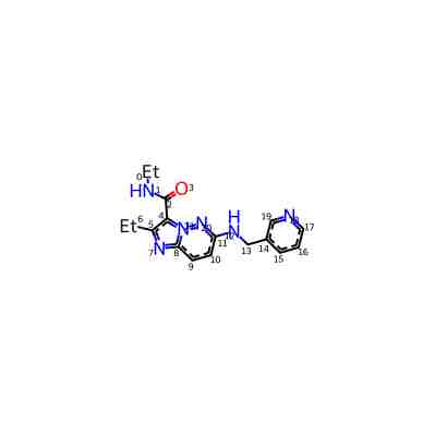 CCNC(=O)c1c(CC)nc2ccc(NCc3cccnc3)nn12